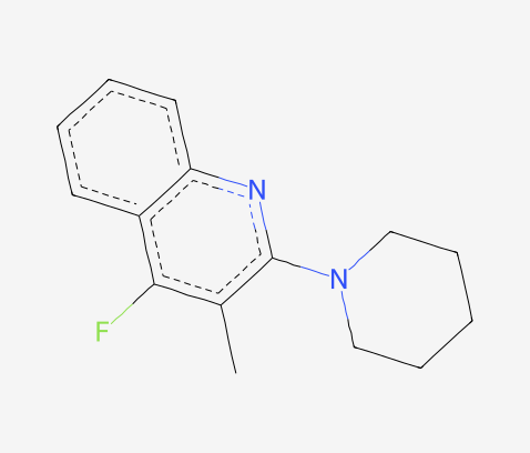 Cc1c(N2CCCCC2)nc2ccccc2c1F